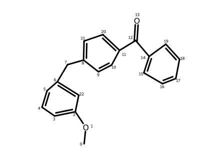 COc1cccc(Cc2ccc(C(=O)c3ccccc3)cc2)c1